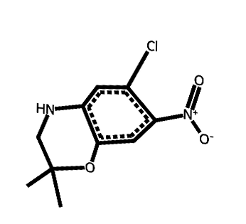 CC1(C)CNc2cc(Cl)c([N+](=O)[O-])cc2O1